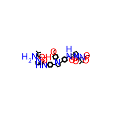 COC(=O)N[C@H](C(=O)N1CCC[C@H]1C(=O)Nc1ccc(C2CCC(c3ccc(NC(=O)[C@@H]4CCCN4C(O)[C@@H](N)C(C)C)cc3)N2c2ccc(OC)cc2)cc1)C(C)C